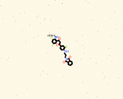 CCCCCCNc1c(F)cc(F)c2oc(-c3ccc(NCCCN4C(=O)c5ccccc5C4=O)c(F)c3)cc(=O)c12